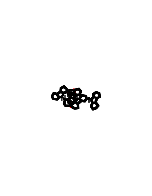 c1ccc(-n2c3ccccc3c3cc(-n4c5ccccc5c5ccccc54)ccc32)c(-c2ccccc2-n2c3ccccc3c3cccc(-n4c5ccccc5c5ccccc54)c32)c1